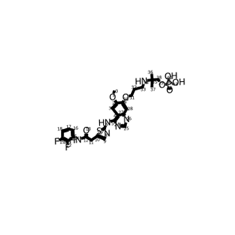 COc1cc2c(Nc3ncc(CC(=O)Nc4cccc(F)c4F)s3)ncnc2cc1OCCCNC(C)(C)COP(=O)(O)O